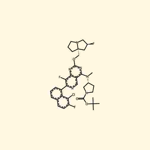 CN(c1nc(OC[C@]23CCCN2C[C@@H](F)C3)nc2c(F)c(-c3cccc4ccc(F)c(Cl)c34)ncc12)[C@@H]1CCN(C(=O)OC(C)(C)C)C1